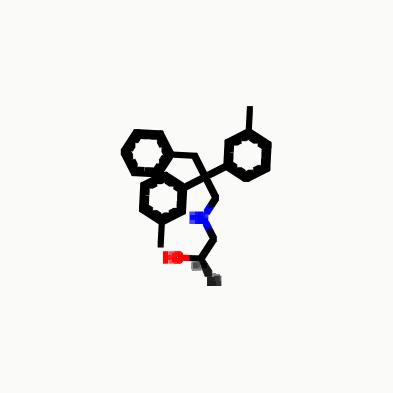 CC[C@@H](O)CNCC(Cc1ccccc1)(c1cccc(C)c1)c1cccc(C)c1